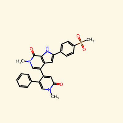 Cn1cc(-c2ccccc2)c(-c2cn(C)c(=O)c3[nH]c(-c4ccc(S(C)(=O)=O)cc4)cc23)cc1=O